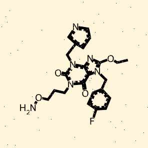 CCOc1nc2c(c(=O)n(CCCON)c(=O)n2Cc2cccnc2)n1Cc1ccc(F)cc1